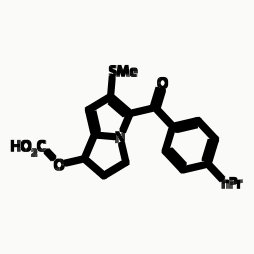 CCCc1ccc(C(=O)c2c(SC)cc3n2CCC3OC(=O)O)cc1